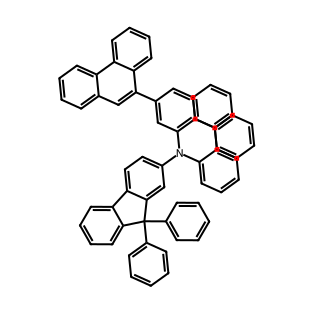 c1ccc(-c2ccccc2N(c2ccc3c(c2)C(c2ccccc2)(c2ccccc2)c2ccccc2-3)c2cc(-c3cc4ccccc4c4ccccc34)ccc2-c2ccccc2)cc1